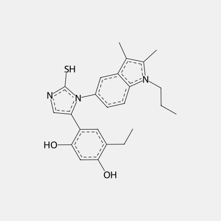 CCCn1c(C)c(C)c2cc(-n3c(-c4cc(CC)c(O)cc4O)cnc3S)ccc21